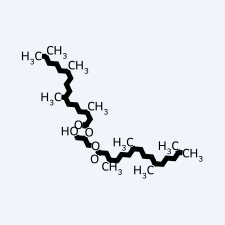 CC(C)CCCC(C)CCCC(C)CCCC(C)CC(=O)OCC(CO)OC(=O)CC(C)CCCC(C)CCCC(C)CCCC(C)C